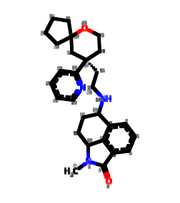 CN1C(=O)c2cccc3c2C1CCC3NCC[C@@]1(c2ccccn2)CCOC2(CCCC2)C1